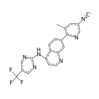 [C-]#[N+]c1cnc(-c2ccc3c(Nc4ncc(C(F)(F)F)cn4)ccnc3c2)c(C)c1